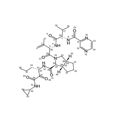 C=C(C)[C@H](NC(=O)[C@@H](NC(=O)c1cnccn1)C(C)C)C(=O)N1C[C@@H]2CCC[C@@H]2[C@H]1C(=O)N[C@@H](CCC)C(=O)C(=O)NC1CC1